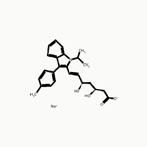 Cc1ccc(-c2c(/C=C/[C@H](O)C[C@H](O)CC(=O)[O-])n(C(C)C)c3ccccc23)cc1.[Na+]